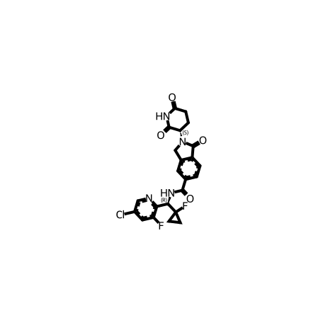 O=C1CC[C@H](N2Cc3cc(C(=O)N[C@H](c4ncc(Cl)cc4F)C4(F)CC4)ccc3C2=O)C(=O)N1